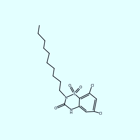 CCCCCCCCCCN1C(=O)Nc2cc(Cl)cc(Cl)c2S1(=O)=O